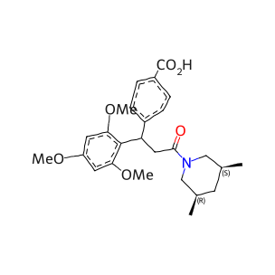 COc1cc(OC)c(C(CC(=O)N2C[C@H](C)C[C@H](C)C2)c2ccc(C(=O)O)cc2)c(OC)c1